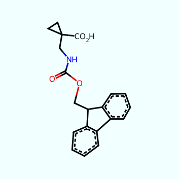 O=C(NCC1(C(=O)O)CC1)OCC1c2ccccc2-c2ccccc21